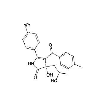 CCCc1ccc(C2=C(C(=O)c3ccc(C)cc3)C(O)(CC(C)O)C(=O)N2)cc1